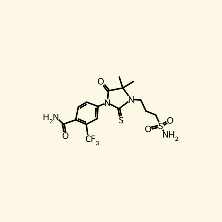 CC1(C)C(=O)N(c2ccc(C(N)=O)c(C(F)(F)F)c2)C(=S)N1CCCS(N)(=O)=O